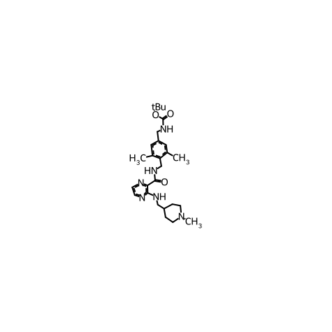 Cc1cc(CNC(=O)OC(C)(C)C)cc(C)c1CNC(=O)c1nccnc1NCC1CCN(C)CC1